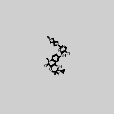 CN1CC2(C1)CN(c1ncc(Cl)c(Nc3ccc4c(c3)c3c(c(=O)n4C)OCC(F)(F)[C@H](C4CC4)N3)n1)C2